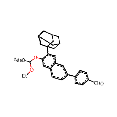 CCOC(OC)Oc1cc2ccc(-c3ccc(C=O)cc3)cc2cc1C12CC3CC(CC(C3)C1)C2